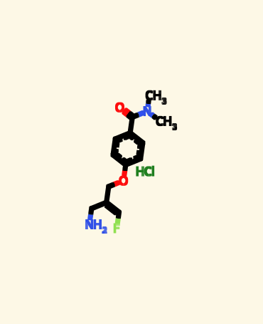 CN(C)C(=O)c1ccc(OCC(=CF)CN)cc1.Cl